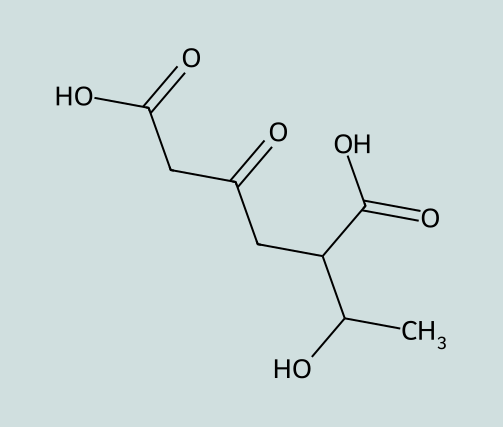 CC(O)C(CC(=O)CC(=O)O)C(=O)O